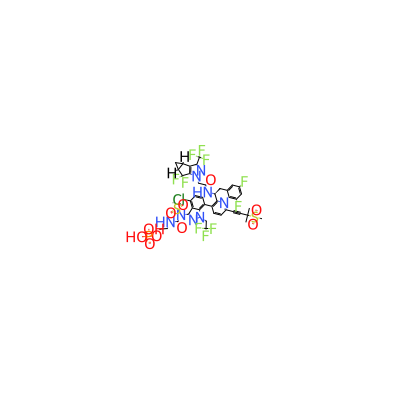 CC(C)(C#Cc1ccc(-c2ccc(Cl)c3c(N(C(=O)NCCOP(=O)(O)O)S(C)(=O)=O)nn(CC(F)(F)F)c23)c([C@H](Cc2cc(F)cc(F)c2)NC(=O)Cn2nc(C(F)(F)F)c3c2C(F)(F)[C@@H]2C[C@H]32)n1)S(C)(=O)=O